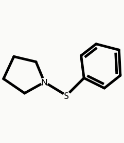 c1ccc(SN2CCCC2)cc1